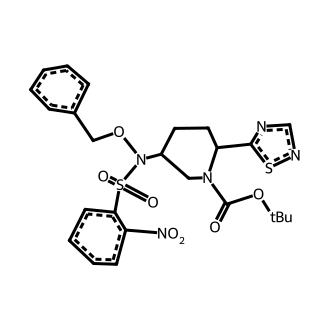 CC(C)(C)OC(=O)N1CC(N(OCc2ccccc2)S(=O)(=O)c2ccccc2[N+](=O)[O-])CCC1c1ncns1